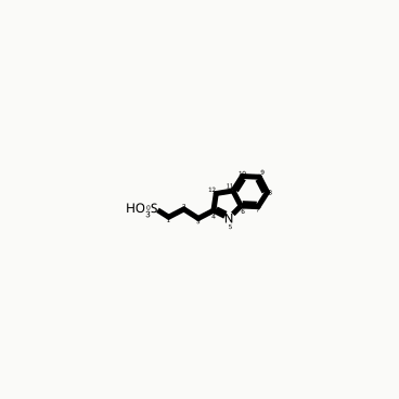 O=S(=O)(O)CCCC1=Nc2ccccc2C1